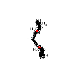 CCc1c2c(nc3ccc(O)cc13)-c1cc3c(c(=O)n1C2)COC(=O)[C@@]3(CC)OC(=O)CNC(=O)COCCOCC(C)OCCOCC(=O)NCC(=O)O[C@]1(CC)C(=O)OCc2c1cc1n(c2=O)Cc2c-1nc1ccc(O)cc1c2CC